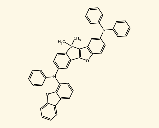 CS1(C)c2ccc(N(c3ccccc3)c3cccc4c3oc3ccccc34)cc2-c2oc3ccc(N(c4ccccc4)c4ccccc4)cc3c21